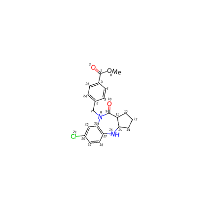 COC(=O)c1ccc(CN2C(=O)C3CCCC3Nc3ccc(Cl)cc32)cc1